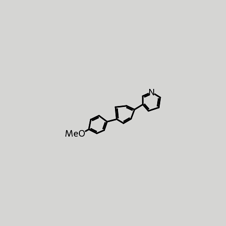 COc1ccc(-c2ccc(-c3cccnc3)cc2)cc1